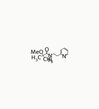 COC(C)(C)C(=O)NCCc1ccccn1